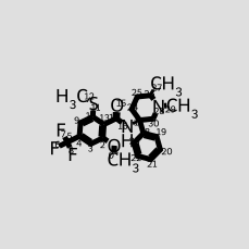 COc1cc(C(F)(F)F)cc(SC)c1C(=O)N[C@@]1(c2ccccc2)CC[C@@H](C)N(C)C1